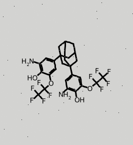 Nc1cc(C23CC4CC(C2)CC(c2cc(N)c(O)c(OC(F)(F)C(F)(F)F)c2)(C4)C3)cc(OC(F)(F)C(F)(F)F)c1O